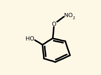 O=[N+]([O-])Oc1ccccc1O